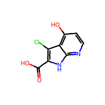 O=C(O)c1[nH]c2nccc(O)c2c1Cl